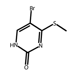 CSc1nc(=O)[nH]cc1Br